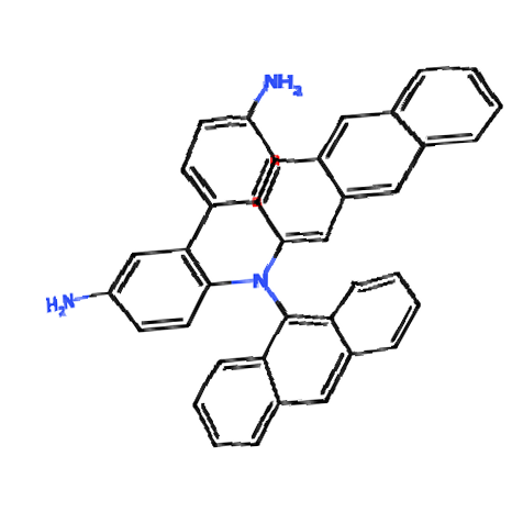 Nc1ccc(-c2cc(N)ccc2N(c2ccc3cc4ccccc4cc3c2)c2c3ccccc3cc3ccccc23)cc1